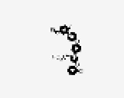 CCOc1ccc(F)c(N2CCC(Oc3ccc(N4C[C@H](Oc5ccccc5Cl)C[C@@H]4CC(=O)O)cc3)CC2)c1